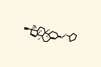 C#C[C@]1(O)C=C[C@H]2[C@@H]3CCC4=C/C(=N/OC5CCCC5)CC[C@@H]4[C@H]3CC[C@@]21CC